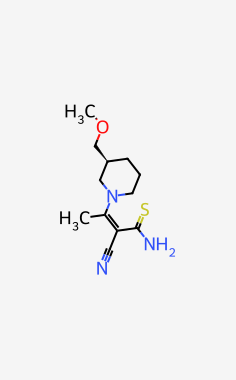 COC[C@H]1CCCN(/C(C)=C(/C#N)C(N)=S)C1